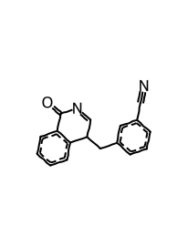 N#Cc1cccc(CC2C=NC(=O)c3ccccc32)c1